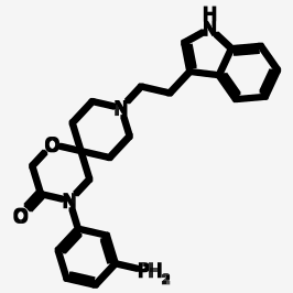 O=C1COC2(CCN(CCc3c[nH]c4ccccc34)CC2)CN1c1cccc(P)c1